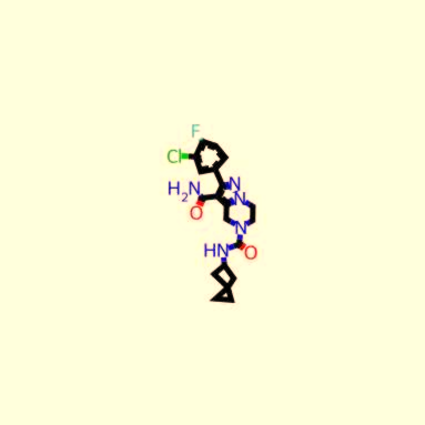 NC(=O)c1c(-c2ccc(F)c(Cl)c2)nn2c1CN(C(=O)NC1CC3(CC3)C1)CC2